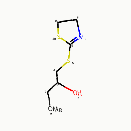 COCC(O)CSC1=NCCS1